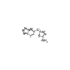 Nc1nnc(Sc2ccc3nnnn3n2)s1